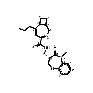 CCCC1=CC(C(=O)NC[C@H]2COc3ccccc3N(C)C2=O)=NCC2CCC12